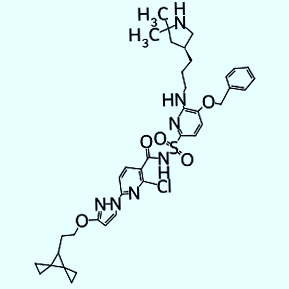 CC1(C)C[C@H](CCCNc2nc(S(=O)(=O)NC(=O)c3ccc(-n4ccc(OCCC5C6(CC6)C56CC6)n4)nc3Cl)ccc2OCc2ccccc2)CN1